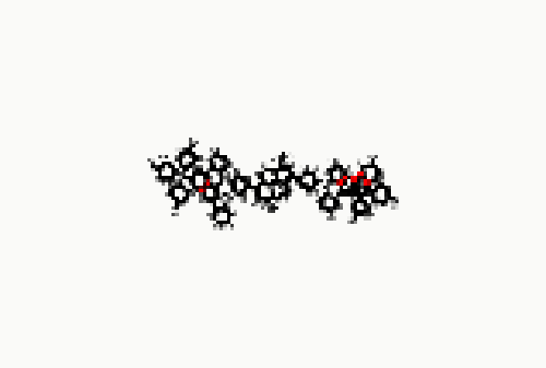 Cc1ccc([Si](c2ccc(C)cc2)(c2ccc(C)cc2)c2cccc(-c3ccccc3N(c3ccc(-c4cc(C(C)C)c5ccc6c(-c7ccc(N(c8ccccc8-c8cccc([Si](c9ccc(C)cc9)(c9ccc(C)cc9)c9ccc(C)cc9)c8)c8cccc9c8oc8ccccc89)cc7)cc(C(C)C)c7ccc4c5c67)cc3)c3cccc4c3oc3ccccc34)c2)cc1